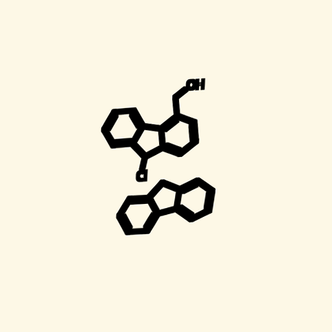 OCc1cccc2c1-c1ccccc1C2Cl.c1ccc2c(c1)Cc1ccccc1-2